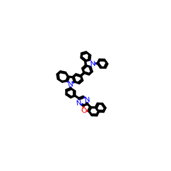 C1=CCc2c(c3cc(-c4ccc5c(c4)c4ccccc4n5-c4ccccc4)ccc3n2-c2cccc(-c3cnc4c(n3)oc3ccc5ccccc5c34)c2)C=C1